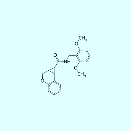 COc1cccc(OC)c1CNC(=O)C1C2COc3ccccc3C21